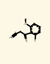 COc1cccc(F)c1C(=O)CC#N